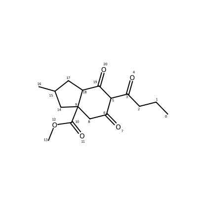 CCCC(=O)C1C(=O)CC2(C(=O)OC)CC(C)CC2C1=O